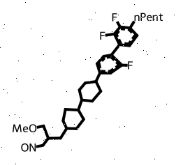 CCCCCc1ccc(-c2ccc(C3CCC(C4CCC(CC(CN=O)COC)CC4)CC3)cc2F)c(F)c1F